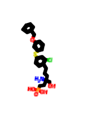 NC(CO)(CCCc1ccc(Sc2cccc(OCc3ccccc3)c2)cc1Cl)CCP(=O)(O)O